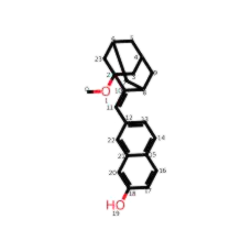 COC12CC3CC(CC(C3)C1=Cc1ccc3ccc(O)cc3c1)C2